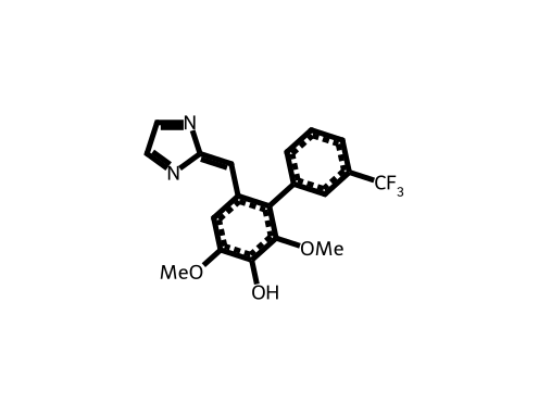 COc1cc(C=C2N=CC=N2)c(-c2cccc(C(F)(F)F)c2)c(OC)c1O